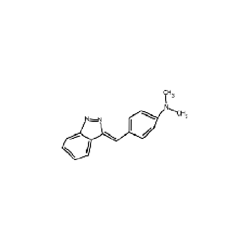 CN(C)c1ccc(C=C2N=Nc3ccccc32)cc1